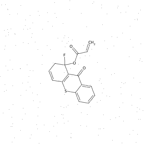 C=CC(=O)OC1(F)CC=Cc2sc3ccccc3c(=O)c21